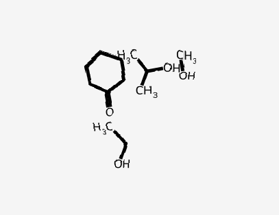 CC(C)O.CCO.CO.O=C1CCCCC1